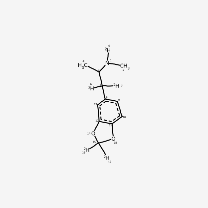 [2H]N(C)C(C)C([2H])([2H])c1ccc2c(c1)OC([2H])([2H])O2